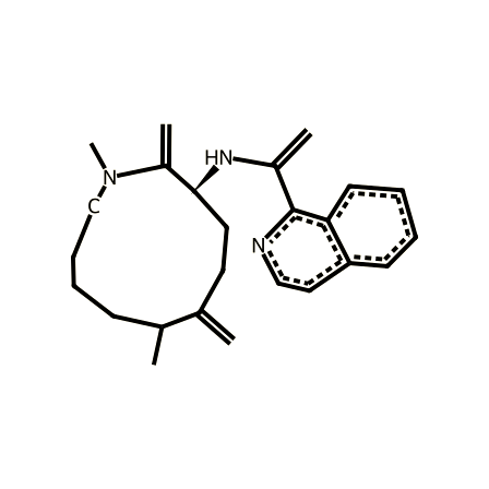 C=C(N[C@H]1CCC(=C)C(C)CCCCN(C)C1=C)c1nccc2ccccc12